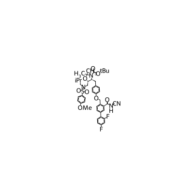 COc1ccc(S(=O)(=O)N(CC(C)C)C[C@H]2OC(C)(C)N(C(=O)OC(C)(C)C)[C@H]2Cc2ccc(OCc3ccc(-c4ccc(F)cc4F)cc3C(=O)NC#N)cc2)cc1